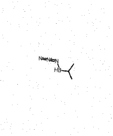 CC(C)BN=[N+]=[N-]